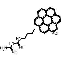 CCCCNC(=N)NC(=N)N.Cl.c1cc2ccc3ccc4ccc5ccc6ccc1c1c2c3c4c5c61